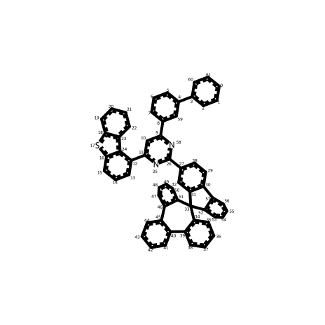 c1ccc(-c2cccc(-c3cc(-c4cccc5sc6ccccc6c45)nc(-c4ccc5c(c4)C4(c6ccccc6-c6ccccc6-c6ccccc64)c4ccccc4-5)n3)c2)cc1